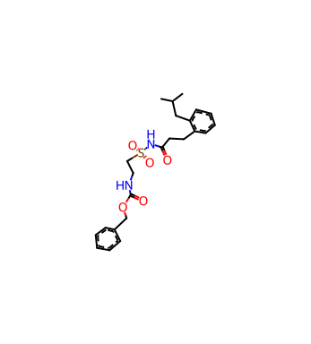 CC(C)Cc1ccccc1CCC(=O)NS(=O)(=O)CCNC(=O)OCc1ccccc1